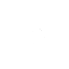 CC1(C)CC(=O)CC2(CCCCC2)N1